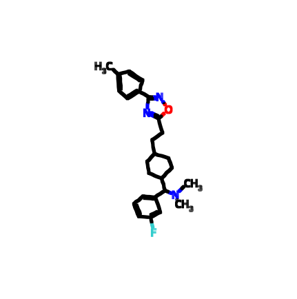 Cc1ccc(-c2noc(CCC3CCC(C(c4cccc(F)c4)N(C)C)CC3)n2)cc1